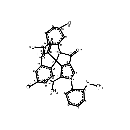 COc1ccccc1-n1cc2c(c1C(C)C)C1(C(=O)Nc3cc(Cl)ccc31)N(c1cc(Cl)ccc1[N+](=O)[O-])C2=O